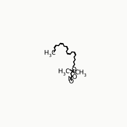 CC/C=C\C/C=C\C/C=C\C/C=C\C/C=C\CCCCCOC(CC)(CC)CC(=O)N=O